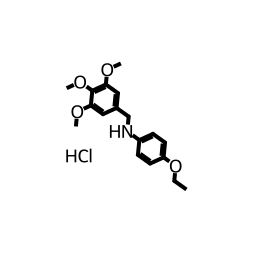 CCOc1ccc(NCc2cc(OC)c(OC)c(OC)c2)cc1.Cl